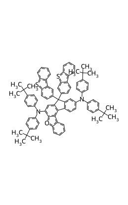 CC(C)(C)c1ccc(N(c2ccc(C(C)(C)C)cc2)c2ccc3c(c2)C(c2ccc4c(c2)sc2ccccc24)(c2ccc4sc5ccccc5c4c2)c2cc(N(c4ccc(C(C)(C)C)cc4)c4ccc(C(C)(C)C)cc4)c4oc5ccccc5c4c2-3)cc1